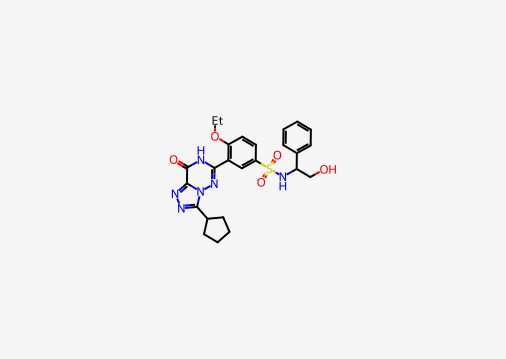 CCOc1ccc(S(=O)(=O)NC(CO)c2ccccc2)cc1-c1nn2c(C3CCCC3)nnc2c(=O)[nH]1